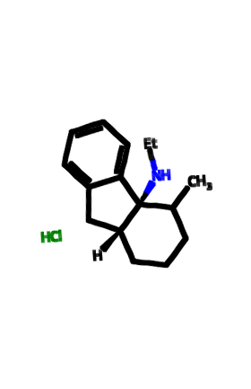 CCN[C@]12c3ccccc3C[C@H]1CCCC2C.Cl